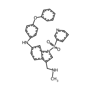 CNCc1cn(S(=O)(=O)c2cccnc2)c2cc(Nc3ccc(Oc4ccccc4)cc3)ccc12